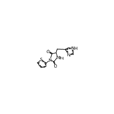 O=C1NC(Cc2c[nH]cn2)C(=O)N1c1cccs1